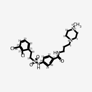 CN1CCN(CCCNC(=O)c2ccc(NS(=O)(=O)CCc3cccc(Cl)c3Cl)cc2)CC1